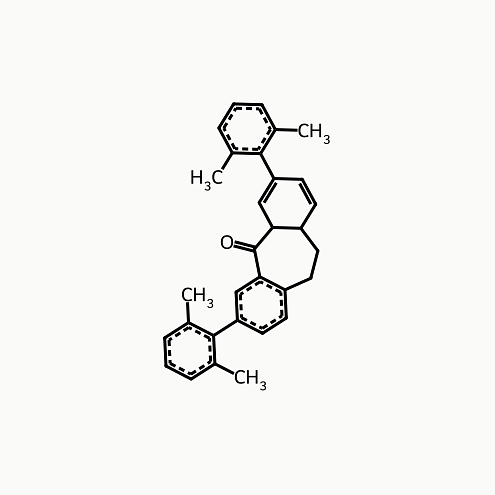 Cc1cccc(C)c1C1=CC2C(=O)c3cc(-c4c(C)cccc4C)ccc3CCC2C=C1